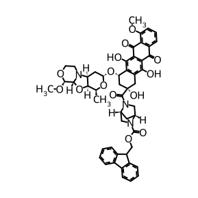 COc1cccc2c1C(=O)c1c(O)c3c(c(O)c1C2=O)C[C@@](O)(C(=O)N1C[C@H]2C[C@@H]1CN2C(=O)OCC1c2ccccc2-c2ccccc21)C[C@@H]3O[C@H]1C[C@H]2[C@H](O[C@@H]3[C@@H](OC)OCCN32)[C@H](C)O1